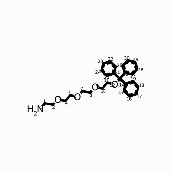 NCCOCCOCCOCCOC(c1ccccc1)(c1ccccc1)c1ccccc1